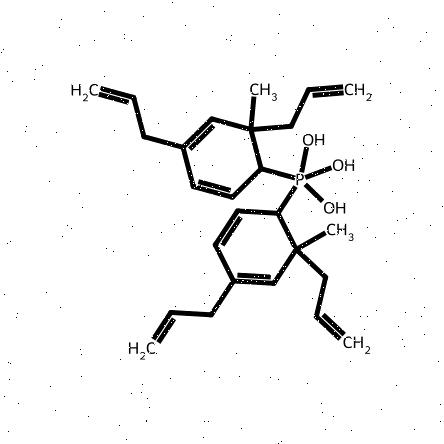 C=CCC1=CC(C)(CC=C)C(P(O)(O)(O)C2C=CC(CC=C)=CC2(C)CC=C)C=C1